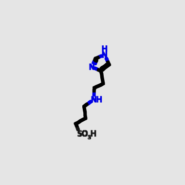 O=S(=O)(O)CCCNCCc1c[nH]cn1